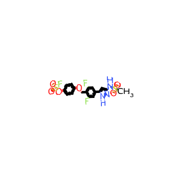 CS(=O)(=O)Nc1cc(-c2cc(F)c(COc3ccc(OS(=O)(=O)F)cc3)c(F)c2)[nH]n1